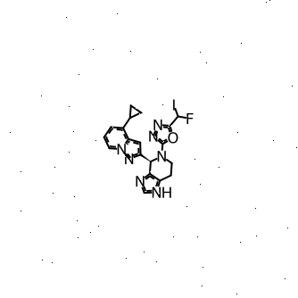 FC(I)c1nnc(N2CCc3[nH]cnc3[C@H]2c2cc3c(C4CC4)cccn3n2)o1